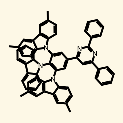 Cc1ccc2c(c1)c1cc(C)ccc1n2-c1cc(-c2cc(-c3ccccc3)nc(-c3ccccc3)n2)cc(-n2c3ccc(C)cc3c3cc(C)ccc32)c1-n1c2ccccc2c2ccccc21